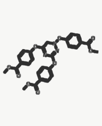 COC(=O)c1ccc(OC2=NC(Oc3ccc(C(=O)OC)cc3)=NN(Oc3ccc(C(=O)OC)cc3)C2)cc1